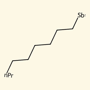 CCCCCCCC[CH2][Sb]